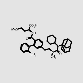 CSCC[C@H](NC(=O)c1ccc(CCN(C)C(=O)N(C2CCCCC2)C23CC4CC(CC(C4)C2)C3)cc1-c1ccccc1C)C(=O)O